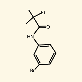 CCC(C)(C)C(=O)Nc1cccc(Br)c1